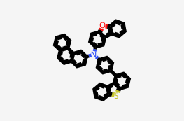 c1ccc2c(c1)ccc1ccc(N(c3ccc(-c4cccc5sc6ccccc6c45)cc3)c3ccc4oc5ccccc5c4c3)cc12